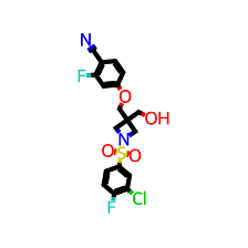 N#Cc1ccc(OCC2(CO)CN(S(=O)(=O)c3ccc(F)c(Cl)c3)C2)cc1F